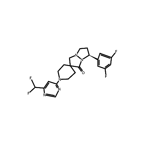 O=C1N2[C@H](c3cc(F)cc(F)c3)CCN2CC12CCN(c1cc(C(F)F)ncn1)CC2